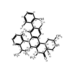 Cc1ccnc(C(C)C)c1N1c2c(cc(F)c(-c3c(O)cccc3F)c2F)C2=C(C1O)N(C)C(=O)[C@H]1CN[C@H](C)CN21